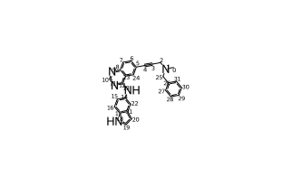 CN(CC#Cc1ccc2ncnc(Nc3ccc4[nH]ccc4c3)c2c1)Cc1ccccc1